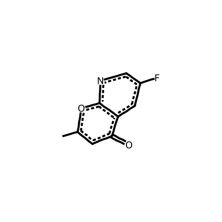 Cc1cc(=O)c2cc(F)cnc2o1